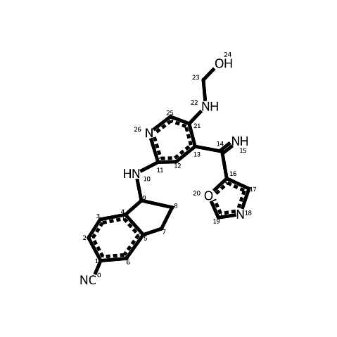 N#Cc1ccc2c(c1)CCC2Nc1cc(C(=N)c2cnco2)c(NCO)cn1